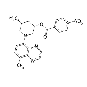 C[C@H]1C[C@H](OC(=O)c2ccc([N+](=O)[O-])cc2)CN(c2ccc(C(F)(F)F)c3nccnc23)C1